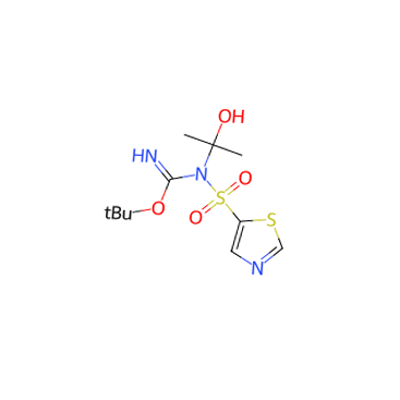 CC(C)(C)OC(=N)N(C(C)(C)O)S(=O)(=O)c1cncs1